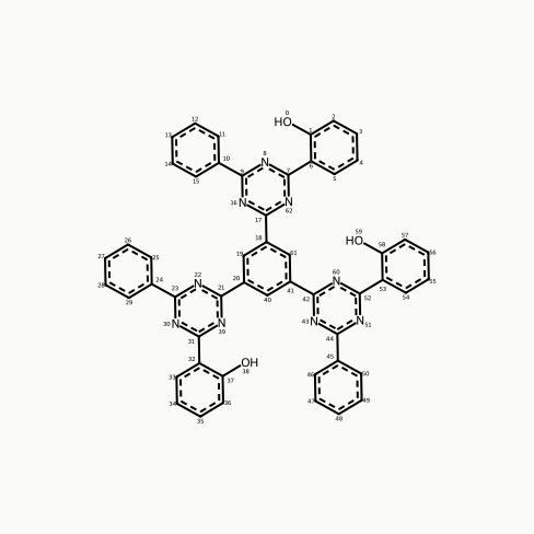 Oc1ccccc1-c1nc(-c2ccccc2)nc(-c2cc(-c3nc(-c4ccccc4)nc(-c4ccccc4O)n3)cc(-c3nc(-c4ccccc4)nc(-c4ccccc4O)n3)c2)n1